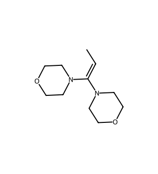 CC=C(N1CCOCC1)N1CCOCC1